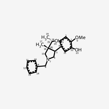 COc1ccc(C2CN(Cc3ccccc3)C[C@]2(C)[C@H](C)O)cc1O